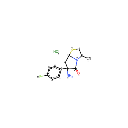 Cl.N#CC1CSC2CC(N)(c3ccc(F)cc3)C(=O)N12